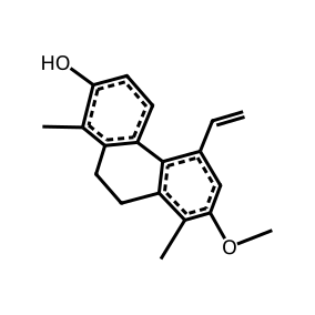 C=Cc1cc(OC)c(C)c2c1-c1ccc(O)c(C)c1CC2